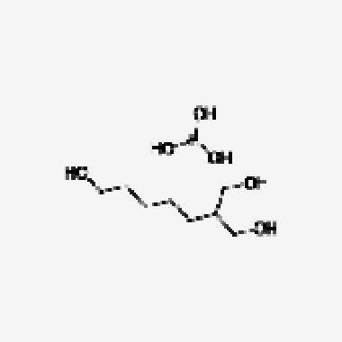 OCCCCCC(CO)CO.OP(O)O